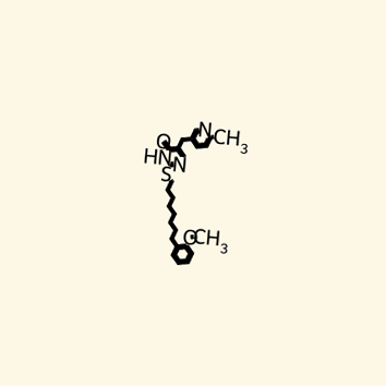 COc1ccccc1CCCCCCCCSc1ncc(Cc2ccc(C)nc2)c(=O)[nH]1